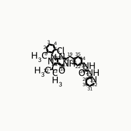 Cc1cccc(Cl)c1-n1nc(C(C)C)c2c(=O)[nH]c(Cc3ccc(NC(=O)Nc4ccccn4)cc3)nc21